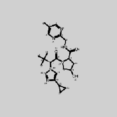 Cc1cnc(CNC(=O)C2CC(O)CN2C(=O)[C@@H](n2cc(C3CC3)nn2)C(C)(C)C)nc1